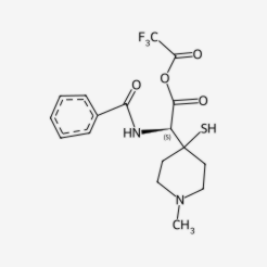 CN1CCC(S)([C@@H](NC(=O)c2ccccc2)C(=O)OC(=O)C(F)(F)F)CC1